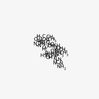 CC(C)(C)[Si](C)(C)CO[C@H]1[C@H]2OP(=O)(S)OC[C@H]3O[C@@H](n4cc5c6c(ncnc64)OCCC5)[C@H](O[Si](C)(C)C(C)(C)C)[C@@H]3OP(=O)(S)OC[C@H]1O[C@H]2n1cnc2c(N)ncnc21